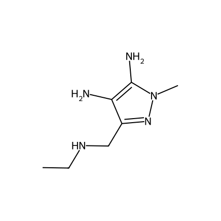 CCNCc1nn(C)c(N)c1N